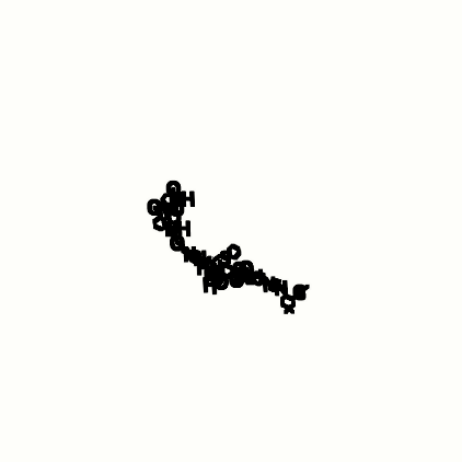 CC1(C)CCC(CN2CCN(c3ccc(C(=O)NS(=O)(=O)c4ccc(N[C@H](CCN5CCN(CCOCCNc6cccc7c6C(=O)N(C6CCC(=O)NC6=O)C7=O)CC5)CSc5ccccc5)c(S(=O)(=O)C(F)(F)F)c4)cc3)CC2)=C(C23CC(C)(C2)C3)C1